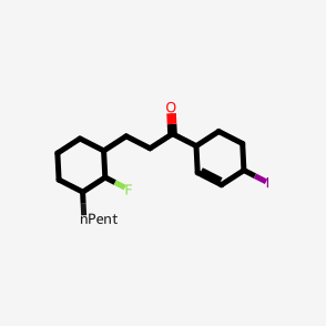 CCCCCC1CCCC(CCC(=O)C2C=CC(I)CC2)C1F